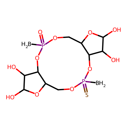 BP1(=O)OCC2OC(O)C(O)C2OP(B)(=S)OCC2OC(O)C(O)C2O1